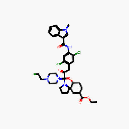 CCOC(=O)C1CCC(OC(C(=O)Cc2cc(Cl)c(NC(=O)c3cn(C)c4ccccc34)cc2Cl)(N2CCCC2)N2CCN(CCF)CC2)CC1